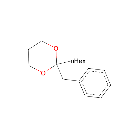 CCCCCCC1(Cc2ccccc2)OCCCO1